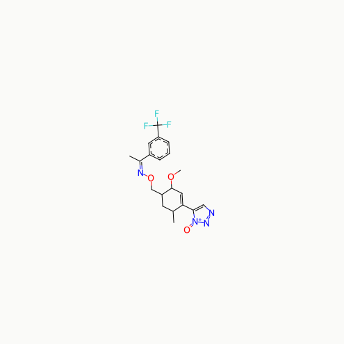 COC1C=C(C2=CN=N[N+]2=O)C(C)CC1CON=C(C)c1cccc(C(F)(F)F)c1